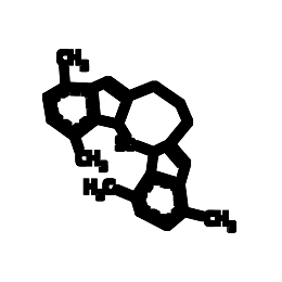 Cc1ccc(C)c2c1C=C1CCCC3=Cc4c(C)ccc(C)c4[CH]3[Sc][CH]12